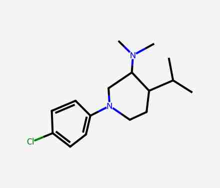 CC(C)C1CCN(c2ccc(Cl)cc2)CC1N(C)C